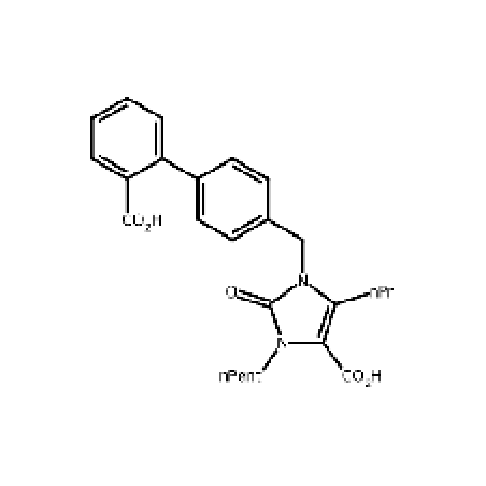 CCCCCn1c(C(=O)O)c(CCC)n(Cc2ccc(-c3ccccc3C(=O)O)cc2)c1=O